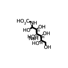 O=C(O)NC(O)[C@@H](O)[C@@H](O)[C@H](O)[C@H](O)CO.[NaH]